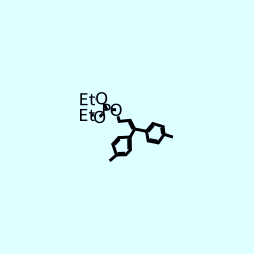 CCOP(OCC)OCC=C(c1ccc(C)cc1)c1ccc(C)cc1